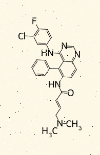 CN(C)C/C=C/C(=O)Nc1ccc2ncnc(Nc3ccc(F)c(Cl)c3)c2c1-c1ccccc1